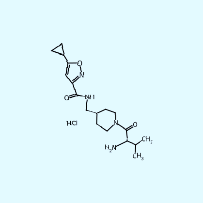 CC(C)C(N)C(=O)N1CCC(CNC(=O)c2cc(C3CC3)on2)CC1.Cl